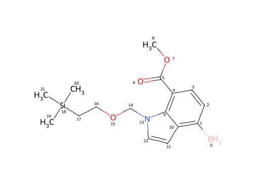 Bc1ccc(C(=O)OC)c2c1ccn2COCC[Si](C)(C)C